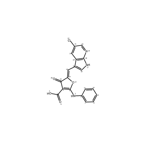 O=C(O)C1=C(Nc2ccccc2)OC(=Cc2c[nH]c3ncc(Cl)cc23)C1=O